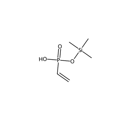 C=CP(=O)(O)O[Si](C)(C)C